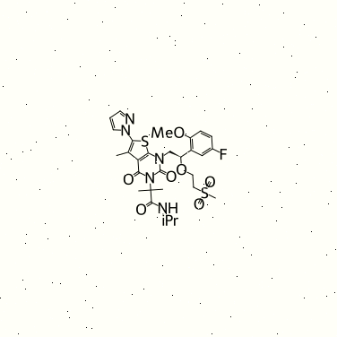 COc1ccc(F)cc1[C@H](Cn1c(=O)n(C(C)(C)C(=O)NC(C)C)c(=O)c2c(C)c(-n3cccn3)sc21)OCCS(C)(=O)=O